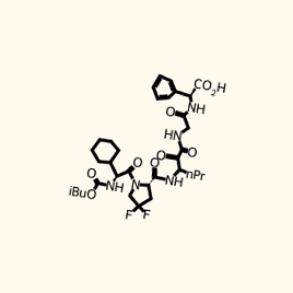 CCCC(NC(=O)[C@@H]1CC(F)(F)CN1C(=O)[C@@H](NC(=O)OCC(C)C)C1CCCCC1)C(=O)C(=O)NCC(=O)N[C@H](C(=O)O)c1ccccc1